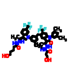 C/C(NNC(=O)CCCCO)=C1/CN(c2cc(C)cc(Cc3cc4c(cc3C(F)(F)F)N(c3cc(C)cc(C)c3)C(=O)/C4=C(/C)NNC(=O)CCO)c2)c2cc(C(F)(F)F)ccc21